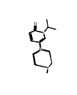 CC(C)n1cc(N2CCN(C)CC2)ccc1=O